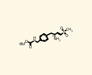 CC(C)(C)OC(=O)NCc1ccc(C[C@H](N)C=CS(C)(=O)=O)cc1